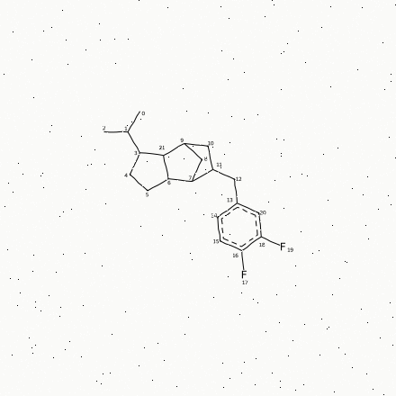 CC(C)C1CCC2C3CC(CC3Cc3ccc(F)c(F)c3)C12